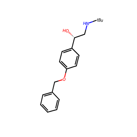 CC(C)(C)NC[C@@H](O)c1ccc(OCc2ccccc2)cc1